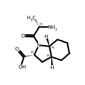 C[C@H](N)C(=O)N1[C@@H](C(=O)O)C[C@H]2CCCC[C@H]21